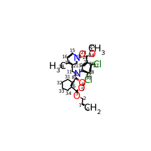 C=CCOC(=O)C1=C(C(=O)N(Cc2cnccc2C)c2cc(C(=O)OC)c(Cl)cc2Cl)CCCC1